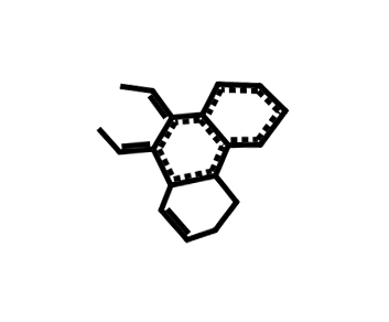 C/C=c1/c2c(c3ccccc3/c1=C/C)CCC=C2